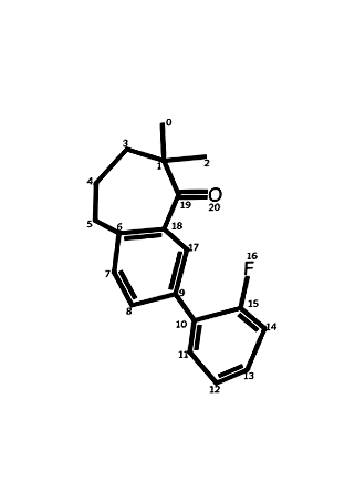 CC1(C)CCCc2ccc(-c3ccccc3F)cc2C1=O